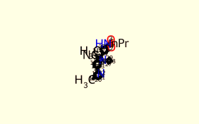 CCCS(=O)(=O)Nc1ccc(-c2c(C#N)c3ccc(-c4cc(C)ccn4)cc3n2C2CCC2)c(C)c1